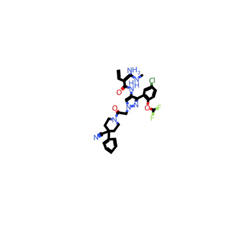 C=C/C(C(=O)Nc1cn(CC(=O)N2CCC(C#N)(c3ccccc3)CC2)nc1-c1cc(Cl)ccc1OC(F)F)=C(\N)NC